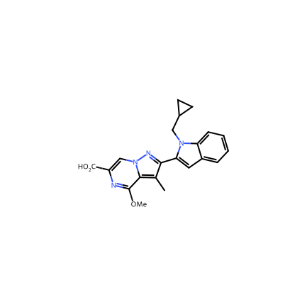 COc1nc(C(=O)O)cn2nc(-c3cc4ccccc4n3CC3CC3)c(C)c12